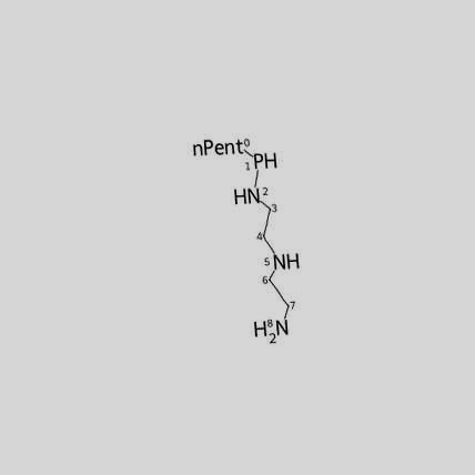 CCCCCPNCCNCCN